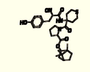 CC1(C)C2CCC1(C)C(OC(=O)C1CCCN1C(=O)C1(NC(=O)C(Cc3ccc(O)cc3)N=O)CCSCC1)C2